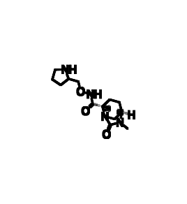 CN1C(=O)N2C[C@H]1CC[C@H]2C(=O)NOCC1CCCN1